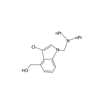 CCCN(CCC)Cn1cc(Cl)c2c(CO)cccc21